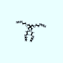 [N-]=[N+]=NCCOCC(COCCN=[N+]=[N-])(COCCN=[N+]=[N-])COCCN=[N+]=[N-]